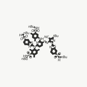 CCCCNS(=O)(=O)c1ccc2nc(N(c3ccc(N=Nc4c(C#N)c(C(C)(C)C)nn4-c4nc5ccc(S(=O)(=O)NCCCC)cc5s4)c(Nc4cc(S(=O)(=O)NCCCC)c(C)cc4C)n3)c3c(C)cc(C)c(S(=O)(=O)NCCCC)c3C)sc2c1